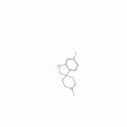 CN1CCC2(CC1)COc1cc(I)ccc12